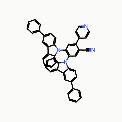 N#Cc1cc(-n2c3ccccc3c3cc(-c4ccccc4)ccc32)c(-n2c3ccccc3c3cc(-c4ccccc4)ccc32)cc1-c1ccncc1